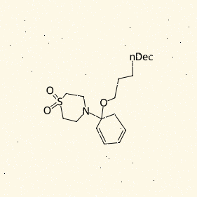 CCCCCCCCCCCCCOC1(N2CCS(=O)(=O)CC2)C=CC=CC1